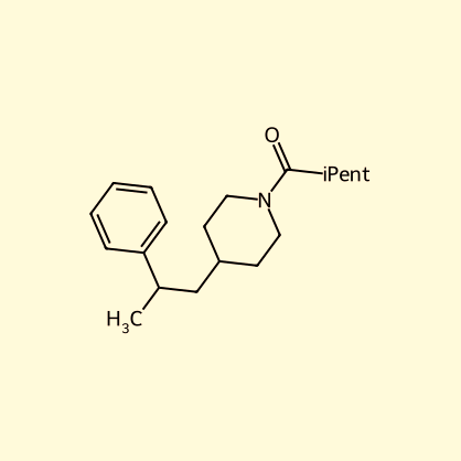 CCCC(C)C(=O)N1CCC(CC(C)c2ccccc2)CC1